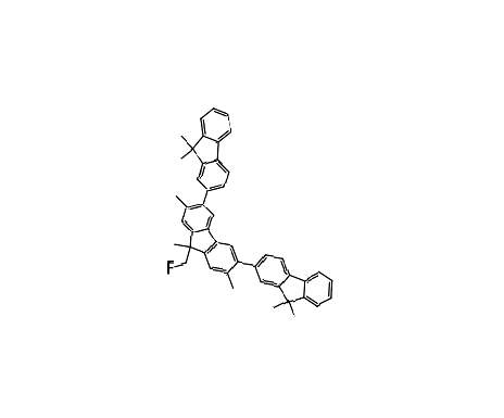 Cc1cc2c(cc1-c1ccc3c(c1)C(C)(C)c1ccccc1-3)-c1cc(-c3ccc4c(c3)C(C)(C)c3ccccc3-4)c(C)cc1C2(C)CF